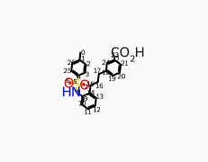 Cc1ccc(S(=O)(=O)Nc2ccccc2CCCc2cccc(C(=O)O)c2)cc1